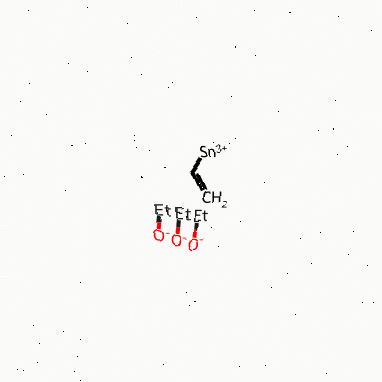 C=[CH][Sn+3].CC[O-].CC[O-].CC[O-]